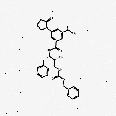 CC(C)Nc1cc(C(=O)N[C@@H](Cc2ccccc2)[C@H](O)CNC(=O)OCc2ccccc2)cc(N2CCCC2=O)c1